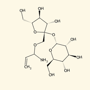 C=CC(N)OC[C@@]1(O[C@H]2O[C@H](CO)[C@@H](O)[C@H](O)[C@H]2O)O[C@H](CO)[C@@H](O)[C@@H]1O